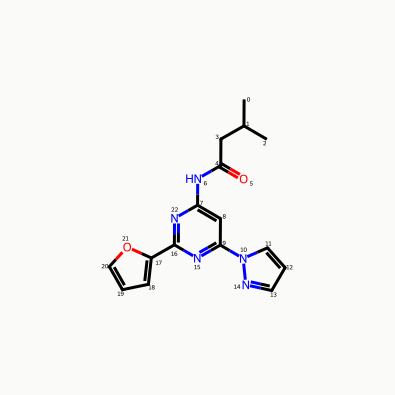 CC(C)CC(=O)Nc1cc(-n2cccn2)nc(-c2ccco2)n1